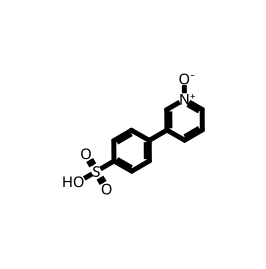 O=S(=O)(O)c1ccc(-c2ccc[n+]([O-])c2)cc1